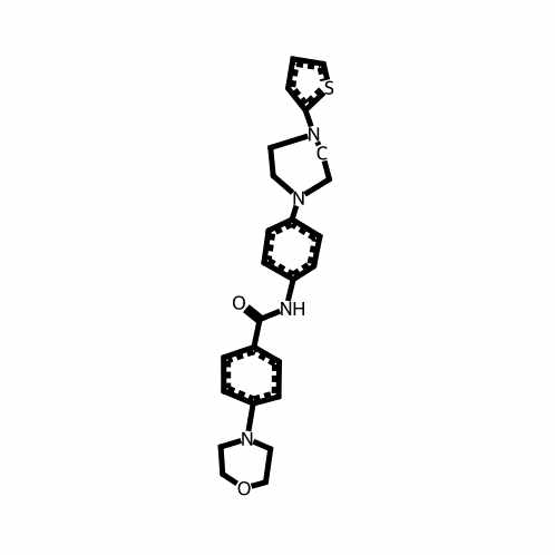 O=C(Nc1ccc(N2CCN(c3cccs3)CC2)cc1)c1ccc(N2CCOCC2)cc1